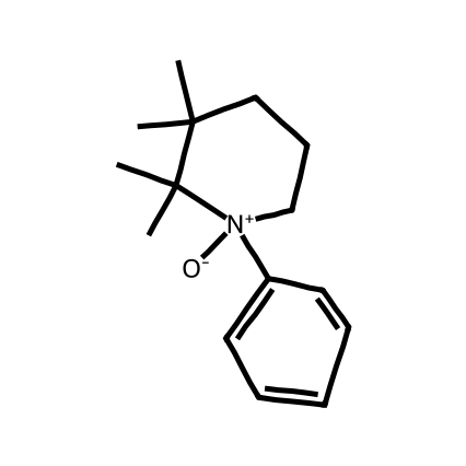 CC1(C)CCC[N+]([O-])(c2ccccc2)C1(C)C